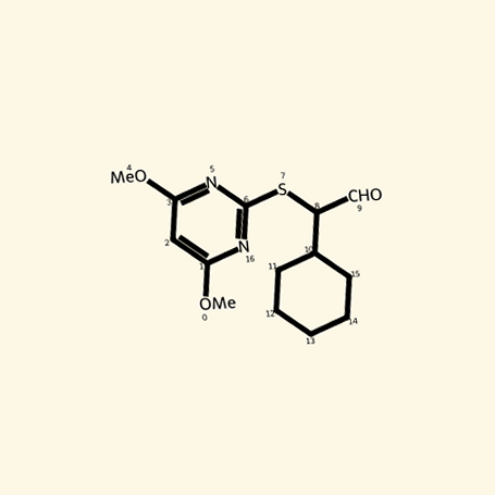 COc1cc(OC)nc(SC(C=O)C2CCCCC2)n1